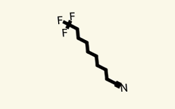 N#CCCCCCCCCC(F)(F)F